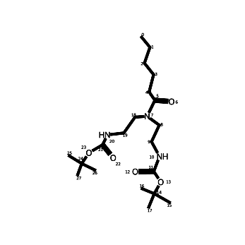 CCCCCC(=O)N(CCNC(=O)OC(C)(C)C)CCNC(=O)OC(C)(C)C